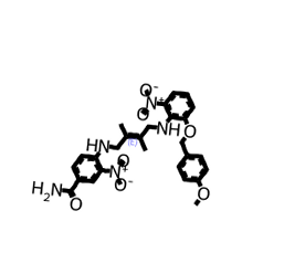 COc1ccc(COc2cccc([N+](=O)[O-])c2NC/C(C)=C(\C)CNc2ccc(C(N)=O)cc2[N+](=O)[O-])cc1